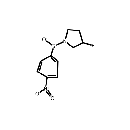 O=[N+]([O-])c1ccc([S+]([O-])N2CCC(F)C2)cc1